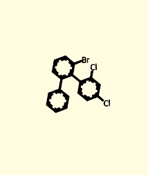 Clc1ccc(-c2c(Br)cccc2-c2ccccc2)c(Cl)c1